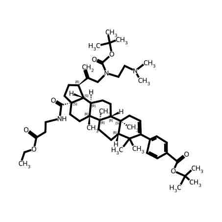 C=C(CN(CCN(C)C)C(=O)OC(C)(C)C)[C@@H]1CC[C@]2(C(=O)NCCC(=O)OCC)CC[C@]3(C)[C@H](CC[C@@H]4[C@@]5(C)CC=C(c6ccc(C(=O)OC(C)(C)C)cc6)C(C)(C)[C@@H]5CC[C@]43C)[C@@H]12